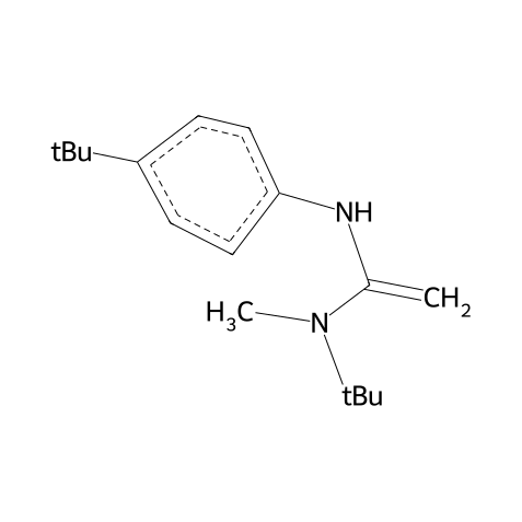 C=C(Nc1ccc(C(C)(C)C)cc1)N(C)C(C)(C)C